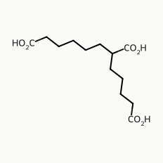 O=C(O)CCCCCC(CCCCC(=O)O)C(=O)O